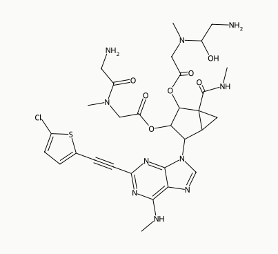 CNC(=O)C12CC1C(n1cnc3c(NC)nc(C#Cc4ccc(Cl)s4)nc31)C(OC(=O)CN(C)C(=O)CN)C2OC(=O)CN(C)C(O)CN